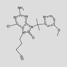 C#CCCCn1c(=O)n(C(C)(C)c2cc(OC)ccn2)c2nc(N)nc(Cl)c21